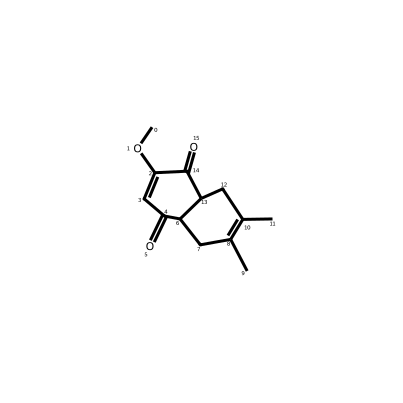 COC1=CC(=O)C2CC(C)=C(C)CC2C1=O